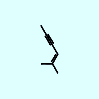 CC#CC=C(C)C